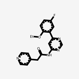 CCOc1ccc(F)cc1-c1cc(NC(=O)Cc2ccncc2)ncn1